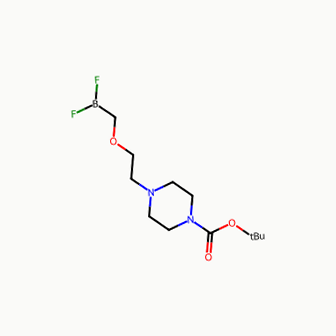 CC(C)(C)OC(=O)N1CCN(CCOCB(F)F)CC1